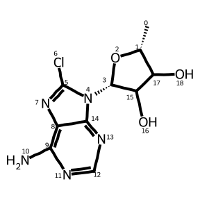 C[C@H]1O[C@@H](n2c(Cl)nc3c(N)ncnc32)C(O)C1O